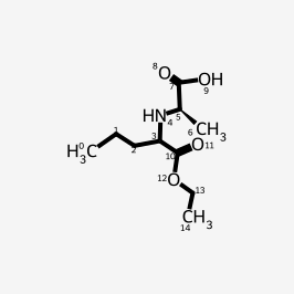 CCCC(N[C@H](C)C(=O)O)C(=O)OCC